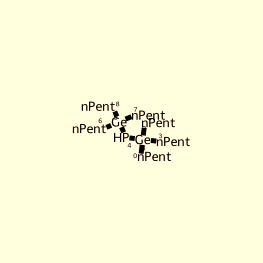 CCCC[CH2][Ge]([CH2]CCCC)([CH2]CCCC)[PH][Ge]([CH2]CCCC)([CH2]CCCC)[CH2]CCCC